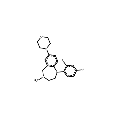 CN1CCN(c2ccc(F)cc2F)c2ccc(N3CCOCC3)cc2C1